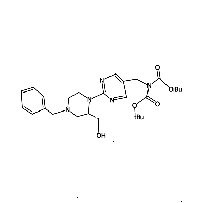 CC(C)COC(=O)N(Cc1cnc(N2CCN(Cc3ccccc3)CC2CO)nc1)C(=O)OC(C)(C)C